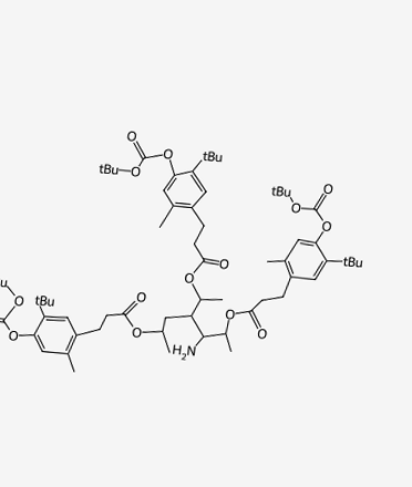 Cc1cc(OC(=O)OC(C)(C)C)c(C(C)(C)C)cc1CCC(=O)OC(C)CC(C(C)OC(=O)CCc1cc(C(C)(C)C)c(OC(=O)OC(C)(C)C)cc1C)C(N)C(C)OC(=O)CCc1cc(C(C)(C)C)c(OC(=O)OC(C)(C)C)cc1C